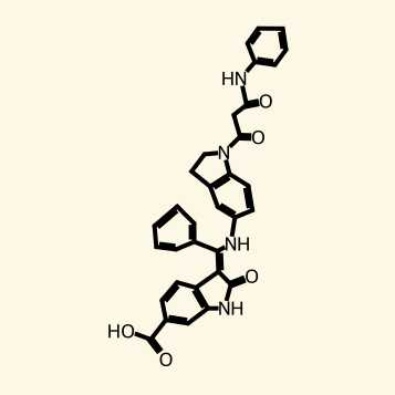 O=C(CC(=O)N1CCc2cc(N/C(=C3\C(=O)Nc4cc(C(=O)O)ccc43)c3ccccc3)ccc21)Nc1ccccc1